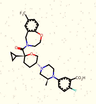 C[C@H]1CN([C@@H]2CC[C@@](C(=O)N3CCOc4ccc(C(F)(F)F)cc4C3)(C3CC3)OC2)CCN1c1ccc(F)c(C(=O)O)c1